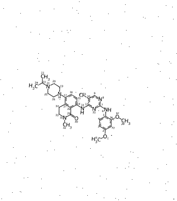 COc1ccc(Nc2ncc(Cl)c(Nc3ccc(N4CCN(C(C)C)CC4)c4c3C(=O)N(C)CC4)n2)c(OC)c1